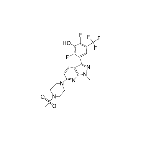 Cn1nc(-c2cc(C(F)(F)F)c(F)c(O)c2F)c2ccc(N3CCN(S(C)(=O)=O)CC3)nc21